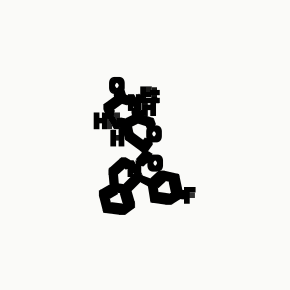 CCN1C(=O)CN[C@H]2C[C@H](C(=O)N3CCc4ccccc4[C@@H]3c3ccc(F)cc3)OC[C@@H]21